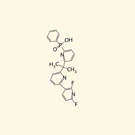 CC(C)(c1cccc(-c2ccc(F)nc2F)n1)c1cccc(P(=O)(O)c2ccccc2)n1